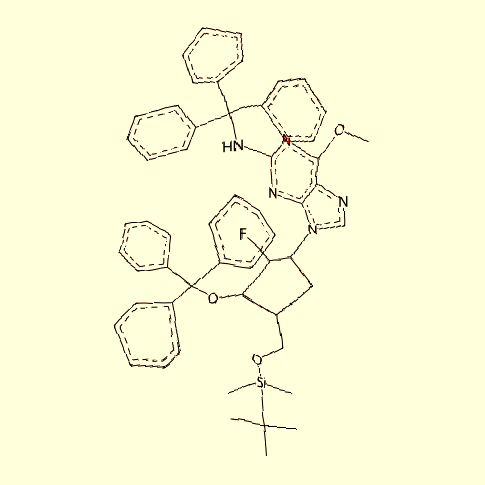 COc1nc(NC(c2ccccc2)(c2ccccc2)c2ccccc2)nc2c1ncn2C1CC(CO[Si](C)(C)C(C)(C)C)C(OC(c2ccccc2)(c2ccccc2)c2ccccc2)C1F